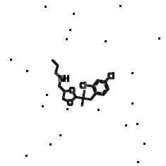 CCCNCC1COC(C(C)(C)Cc2ccc(Cl)cc2Cl)O1